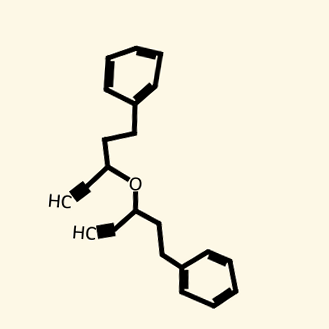 C#CC(CCc1ccccc1)OC(C#C)CCc1ccccc1